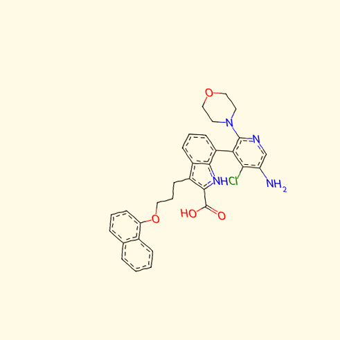 Nc1cnc(N2CCOCC2)c(-c2cccc3c(CCCOc4cccc5ccccc45)c(C(=O)O)[nH]c23)c1Cl